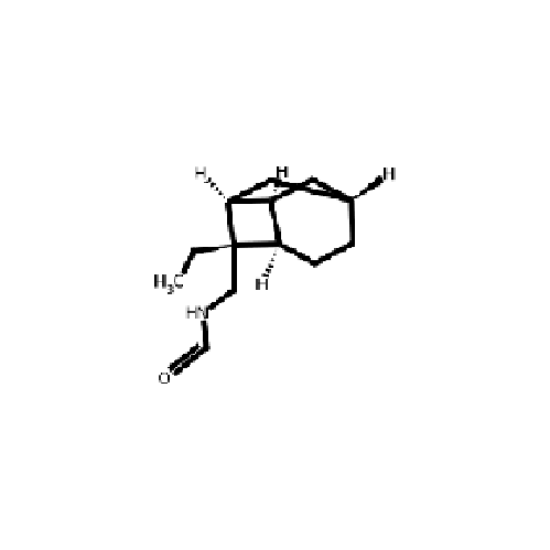 CC[C@]1(CNC=O)[C@@H]2CC[C@H]3C[C@@H]2[C@@H]1C3